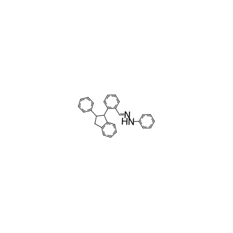 C(=NNc1ccccc1)c1ccccc1C1c2ccccc2CC1c1ccccc1